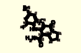 Cc1c(Nc2ccc(Br)cc2F)c(C(N)=O)c2n(c1=O)CCC2